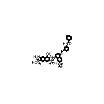 Nc1cc2c(O)c(N=Nc3ccc(N=Nc4cccc(NC(=O)c5ccccc5)c4)c4ccc(S(=O)(=O)O)cc34)c(S(=O)(=O)O)cc2cc1S(=O)(=O)O